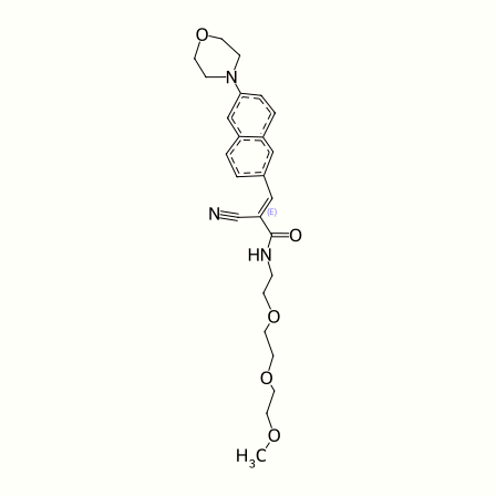 COCCOCCOCCNC(=O)/C(C#N)=C/c1ccc2cc(N3CCOCC3)ccc2c1